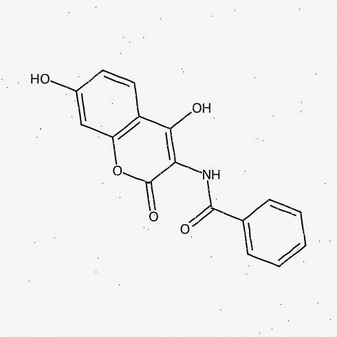 O=C(Nc1c(O)c2ccc(O)cc2oc1=O)c1ccccc1